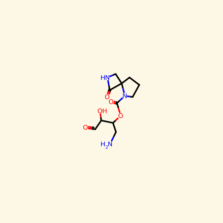 NCC(OC(=O)N1CCCC12CNC2=O)C(O)C=O